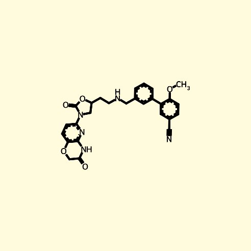 COc1ccc(C#N)cc1-c1cccc(CNCCC2CN(c3ccc4c(n3)NC(=O)CO4)C(=O)O2)c1